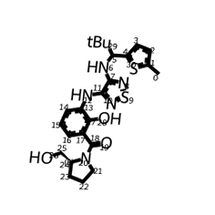 Cc1ccc(C(Nc2nsnc2Nc2cccc(C(=O)N3CCC[C@H]3CO)c2O)C(C)(C)C)s1